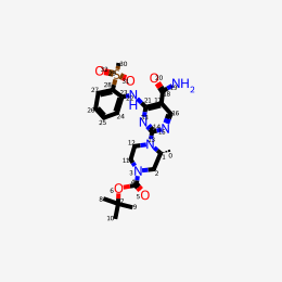 C[C@@H]1CN(C(=O)OC(C)(C)C)CCN1c1ncc(C(N)=O)c(Nc2ccccc2S(C)(=O)=O)n1